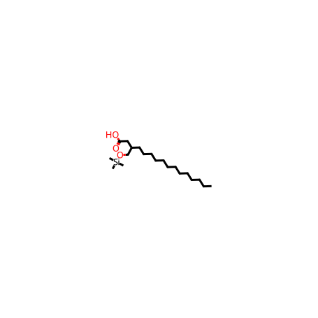 CCCCCCCCCCCCCC(CO[Si](C)(C)C)CC(=O)O